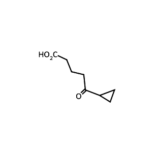 O=C(O)CCCC(=O)C1CC1